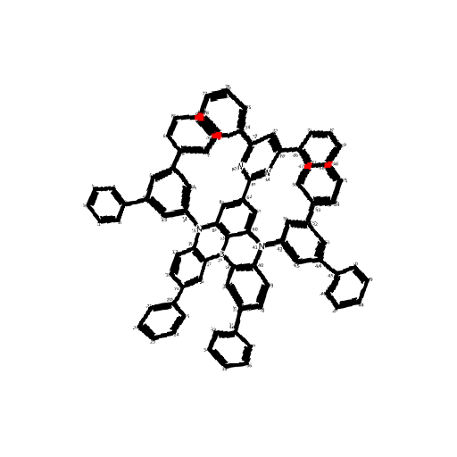 c1ccc(-c2cc(-c3ccccc3)cc(N3c4ccc(-c5ccccc5)cc4B4c5cc(-c6ccccc6)ccc5N(c5cc(-c6ccccc6)cc(-c6ccccc6)c5)c5cc(-c6nc(-c7ccccc7)cc(-c7ccccc7)n6)cc3c54)c2)cc1